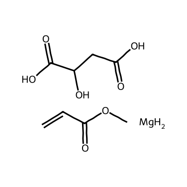 C=CC(=O)OC.O=C(O)CC(O)C(=O)O.[MgH2]